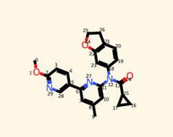 COc1ccc(-c2cc(C)cc(N(C(=O)C3CC3)c3ccc4c(c3)OCC4)n2)cn1